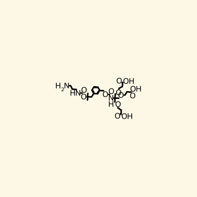 CC(C)(Cc1cccc(COC(=O)NC(COCCC(=O)O)(COCCC(=O)O)COCCC(=O)O)c1)OC(=O)NCCCN